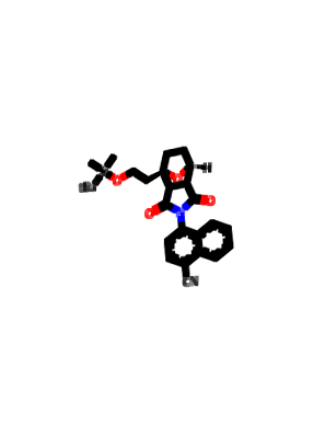 CC(C)(C)[Si](C)(C)OCC[C@@]12CC[C@H](O1)C1C(=O)N(c3ccc(C#N)c4ccccc34)C(=O)C12